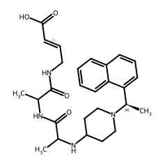 CC(NC(=O)C(C)NC1CCN([C@H](C)c2cccc3ccccc23)CC1)C(=O)NC/C=C/C(=O)O